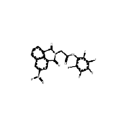 O=C(CN1C(=O)c2cccc3cc([N+](=O)[O-])cc(c23)C1=O)Oc1c(F)c(F)c(F)c(F)c1F